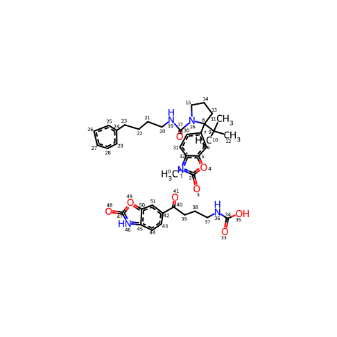 Cn1c(=O)oc2cc(C3(C(C)(C)C)CCCN3C(=O)NCCCCc3ccccc3)ccc21.O=C(O)NCCCC(=O)c1ccc2[nH]c(=O)oc2c1